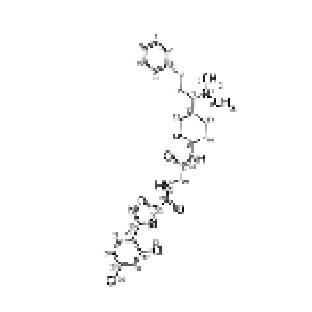 CN(C)C(CCc1ccccc1)C1CCC(NC(=O)CNC(=O)c2nc(-c3ccc(Cl)cc3Cl)no2)CC1